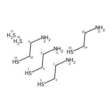 NCCS.NCCS.NCCS.NCCS.S.S